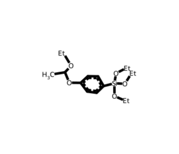 CCOC(C)Oc1ccc([Si](OCC)(OCC)OCC)cc1